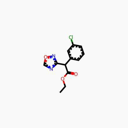 CCOC(=O)C(c1cccc(Cl)c1)c1ncon1